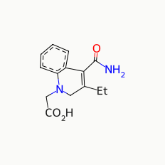 CCC1=C(C(N)=O)c2ccccc2N(CC(=O)O)C1